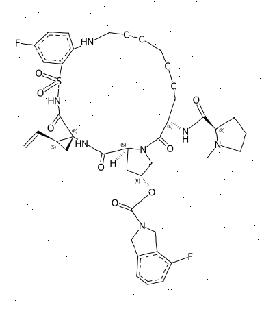 C=C[C@@H]1C[C@@]12NC(=O)[C@@H]1C[C@@H](OC(=O)N3Cc4cccc(F)c4C3)CN1C(=O)[C@@H](NC(=O)[C@H]1CCCN1C)CCCCCCCNc1ccc(F)cc1S(=O)(=O)NC2=O